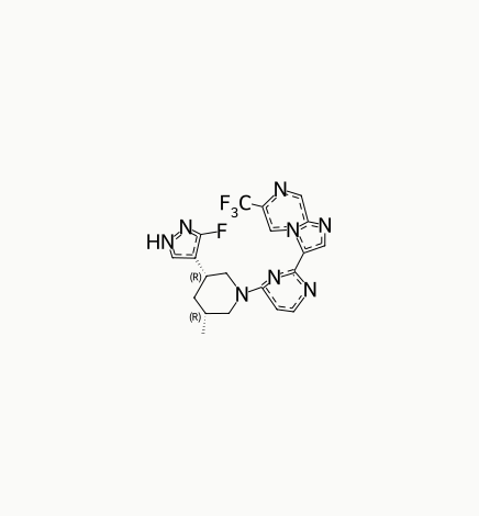 C[C@@H]1C[C@H](c2c[nH]nc2F)CN(c2ccnc(-c3cnc4cnc(C(F)(F)F)cn34)n2)C1